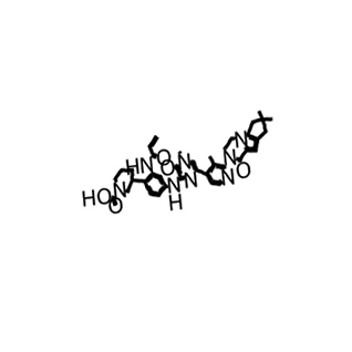 C=CC(=O)Nc1cc(Nc2nc(-c3ccnc(N4CCn5c(cc6c5CC(C)(C)C6)C4=O)c3C)cn(C)c2=O)ccc1C1CCCN(C(=O)O)C1